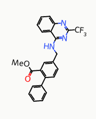 COC(=O)c1cc(CNc2nc(C(F)(F)F)nc3ccccc23)ccc1-c1ccccc1